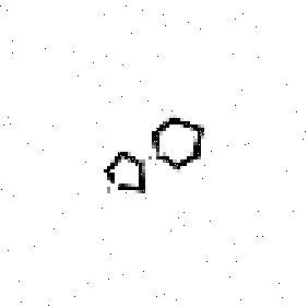 C1CCSC1.C1CCSCC1